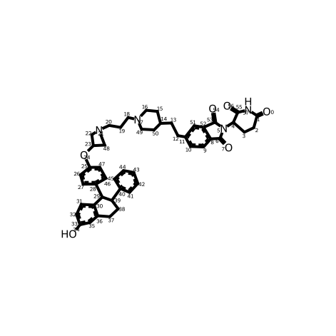 O=C1CCC(N2C(=O)c3ccc(CCC4CCN(CCCN5CC(Oc6ccc(C7c8ccc(O)cc8CCC7c7ccccc7)cc6)C5)CC4)cc3C2=O)C(=O)N1